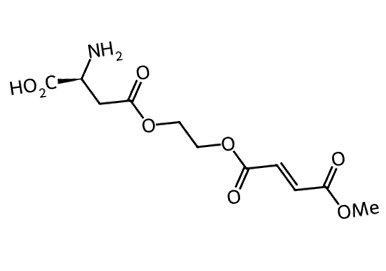 COC(=O)/C=C/C(=O)OCCOC(=O)C[C@H](N)C(=O)O